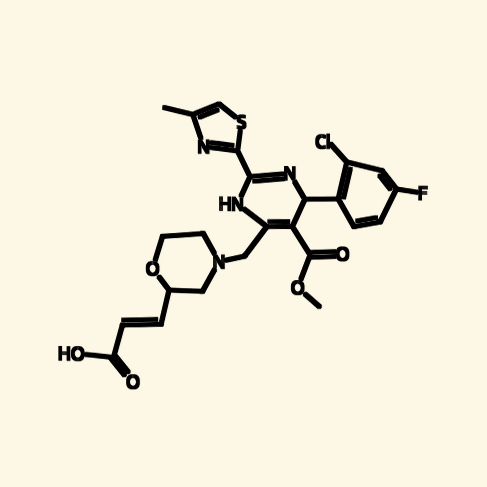 COC(=O)C1=C(CN2CCOC(/C=C/C(=O)O)C2)NC(c2nc(C)cs2)=NC1c1ccc(F)cc1Cl